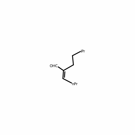 CCCC=C(C=O)CCC(C)C